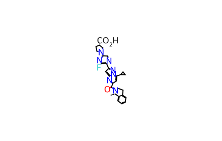 C[C@@H]1c2ccccc2CCN1C(=O)c1cc(C2CC2)n2nc(-c3ncc(N4CC[C@H](C(=O)O)C4)nc3F)cc2n1